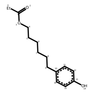 CCC(=O)OCCCCCCc1ccc(O)cc1